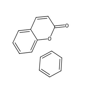 O=c1ccc2ccccc2o1.c1ccccc1